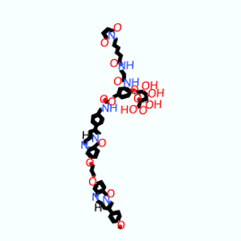 COc1ccc(C2=CN3C(=O)c4ccc(OCCCOc5ccc6c(c5)N=C[C@@H]5CC(c7ccc(CNC(=O)OCc8ccc(O[C@@H]9OC(C(=O)O)[C@@H](O)C(O)C9O)c(NC(=O)CCNC(=O)CCCCCN9C(=O)C=CC9=O)c8)cc7)=CN5C6=O)cc4N=C[C@@H]3C2)cc1